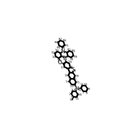 Cc1ccc(N(c2ccccc2)c2ccc3cc4c(cc3c2)sc2cc3c(cc24)Oc2cccc4c2B3c2ccccc2N4c2ccccc2)cc1